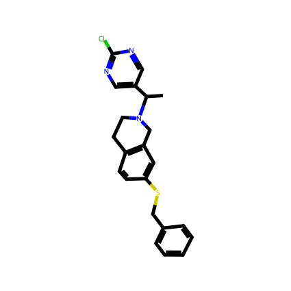 CC(c1cnc(Cl)nc1)N1CCc2ccc(SCc3ccccc3)cc2C1